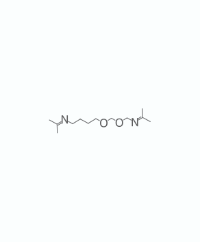 CC(C)=NCCCCOCOCN=C(C)C